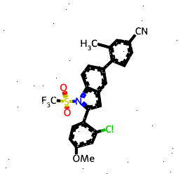 COc1ccc(-c2cc3cc(-c4ccc(C#N)cc4C)ccc3n2S(=O)(=O)C(F)(F)F)c(Cl)c1